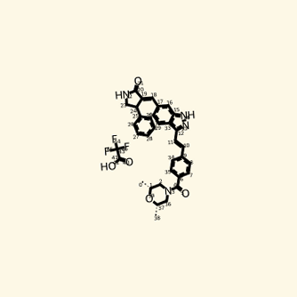 C[C@@H]1CN(C(=O)c2ccc(/C=C/c3n[nH]c4cc(/C=C5/C(=O)NCC5c5ccccc5)ccc34)cc2)C[C@H](C)O1.O=C(O)C(F)(F)F